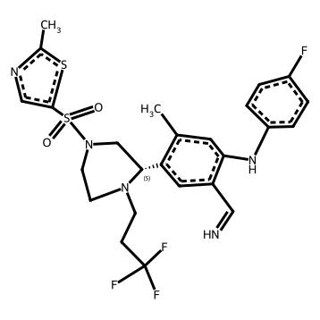 Cc1ncc(S(=O)(=O)N2CCN(CCC(F)(F)F)[C@@H](c3cc(C=N)c(Nc4ccc(F)cc4)cc3C)C2)s1